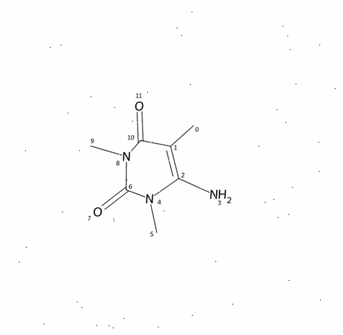 Cc1c(N)n(C)c(=O)n(C)c1=O